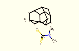 C1C2CC3C4CC5CC(C14)C(C2)C3C5.CN(C)C(=S)S.[KH]